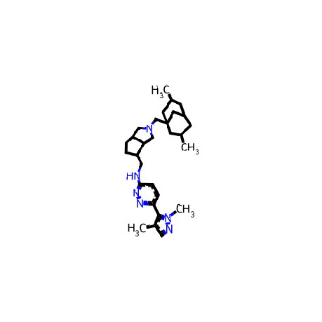 Cc1cnn(C)c1-c1ccc(NCC2CCC3CN(CC45CC(C)CC(CC(C)C4)C5)CC23)nn1